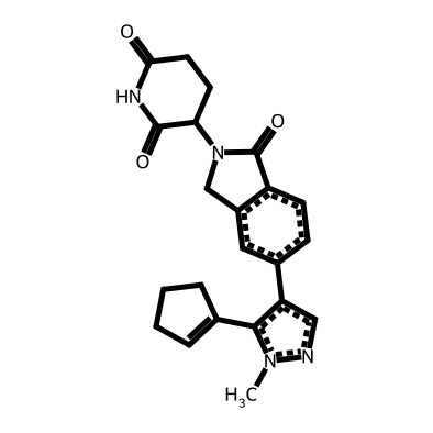 Cn1ncc(-c2ccc3c(c2)CN(C2CCC(=O)NC2=O)C3=O)c1C1=CCCC1